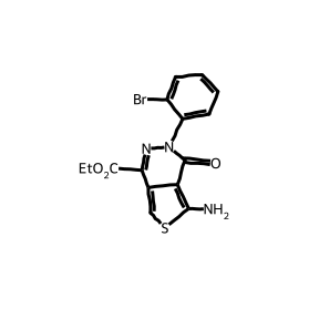 CCOC(=O)c1nn(-c2ccccc2Br)c(=O)c2c(N)scc12